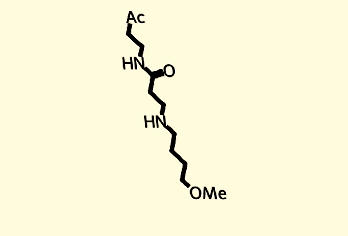 COCCCCNCCC(=O)NCCC(C)=O